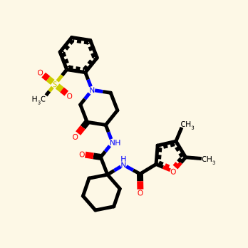 Cc1cc(C(=O)NC2(C(=O)NC3CCN(c4ccccc4S(C)(=O)=O)CC3=O)CCCCC2)oc1C